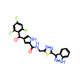 O=C(NCc1nnc(-c2n[nH]c3ccccc23)s1)c1cc(C(=O)c2c(F)cc(F)cc2F)c[nH]1